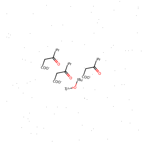 CC(C)(C)[O][Ti+3].CC(C)C(=O)CC(=O)[O-].CC(C)C(=O)CC(=O)[O-].CC(C)C(=O)CC(=O)[O-]